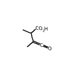 CC(=C=O)C(C)C(=O)O